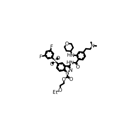 CCOCCOC(=O)n1nc(NC(=O)c2ccc(CCN(C)C)cc2NC2CCOCC2)c2cc(S(=O)(=O)c3cc(F)cc(F)c3)ccc21